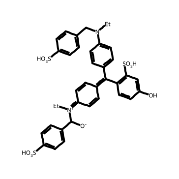 CCN(Cc1ccc(S(=O)(=O)O)cc1)c1ccc(C(=C2C=CC(=[N+](CC)C([O-])c3ccc(S(=O)(=O)O)cc3)C=C2)c2ccc(O)cc2S(=O)(=O)O)cc1